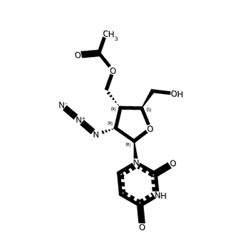 CC(=O)OC[C@H]1[C@@H](N=[N+]=[N-])[C@H](n2ccc(=O)[nH]c2=O)O[C@@H]1CO